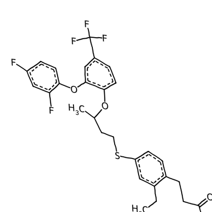 CCc1cc(SCCC(C)Oc2ccc(C(F)(F)F)cc2Oc2ccc(F)cc2F)ccc1CCC(=O)O